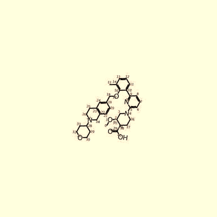 CO[C@H]1CN(c2cccc(-c3cccc(C)c3OCc3ccc4c(c3)CCN(C3CCOCC3)C4)n2)CC[C@H]1C(=O)O